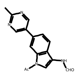 CC(=O)n1cc(NC=O)c2ccc(-c3cnc(C)nc3)cc21